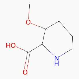 COC1CCCNC1C(=O)O